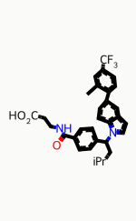 Cc1cc(C(F)(F)F)ccc1-c1ccc2c(ccn2C(CC(C)C)c2ccc(C(=O)NCCC(=O)O)cc2)c1